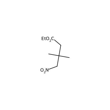 CCOC(=O)CC(C)(C)C[N+](=O)[O-]